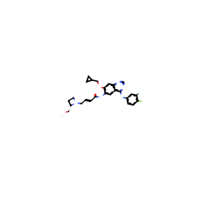 COC[C@H]1CCN1C/C=C/C(=O)Nc1cc2c(Nc3ccc(F)c(Cl)c3)ncnc2cc1OCC1CC1